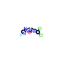 O=c1[nH]c(Cc2ccc(Cl)cc2Cl)cn1Cc1nc2ccc(F)nc2[nH]1